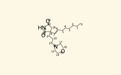 CCCCCCC=CC1(CCCN2CCOCC2)CC(=O)NC1=O